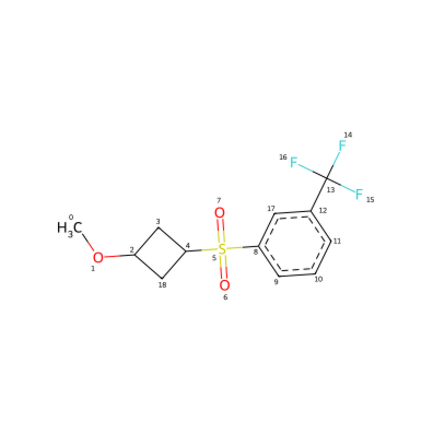 COC1CC(S(=O)(=O)c2cccc(C(F)(F)F)c2)C1